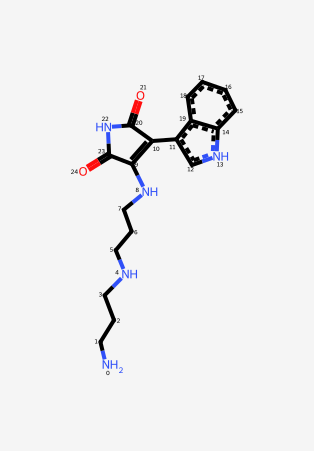 NCCCNCCCNC1=C(c2c[nH]c3ccccc23)C(=O)NC1=O